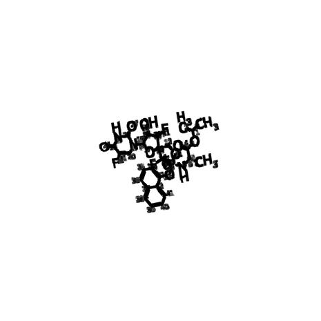 CC(C)OC(=O)[C@H](C)NP(=O)(OC[C@@]1(C(F)F)O[C@@H](n2cc(F)c(=O)[nH]c2=O)[C@H](O)[C@H]1F)Oc1cccc2ccccc12